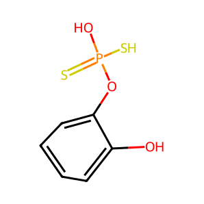 Oc1ccccc1OP(O)(=S)S